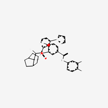 O=C(Nc1ccc(F)c(F)c1)c1ccc(Cl)c(S(=O)(=O)[C@H]2CC3CCC(C2)[C@]3(O)C(O)C(O)c2cc(-n3cccn3)ccn2)c1